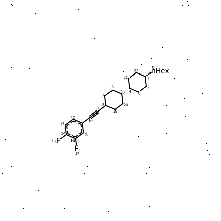 CCCCCC[C@H]1CC[C@H](C2CCC(C#Cc3ccc(F)c(F)c3)CC2)CC1